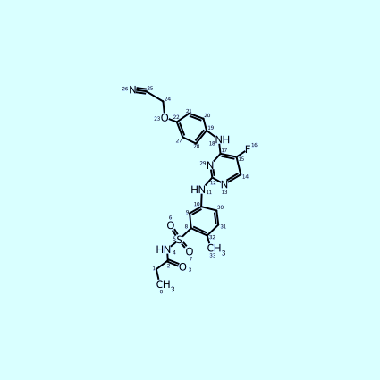 CCC(=O)NS(=O)(=O)c1cc(Nc2ncc(F)c(Nc3ccc(OCC#N)cc3)n2)ccc1C